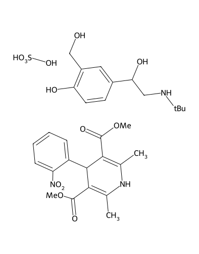 CC(C)(C)NCC(O)c1ccc(O)c(CO)c1.COC(=O)C1=C(C)NC(C)=C(C(=O)OC)C1c1ccccc1[N+](=O)[O-].O=S(=O)(O)O